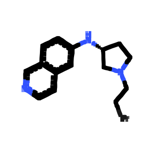 CC(C)CCN1CC[C@@H](Nc2ccc3cnccc3c2)C1